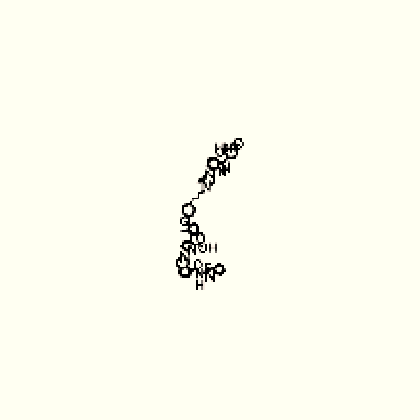 Cc1c(O[C@H]2CC[C@H](CCCCN3CCN(c4cccc5c(C6CCC(=O)NC6=O)nn(C)c45)C[C@H]3C)CC2)cccc1-c1ccc(N2CCc3cccc(C(=O)Nc4nc5ccccc5s4)c3C2)nc1C(=O)O